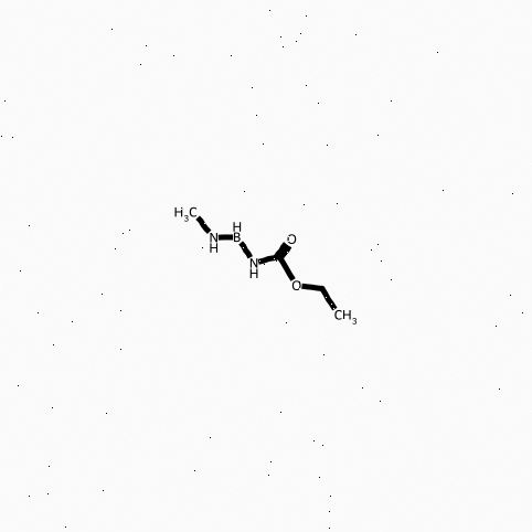 CCOC(=O)NBNC